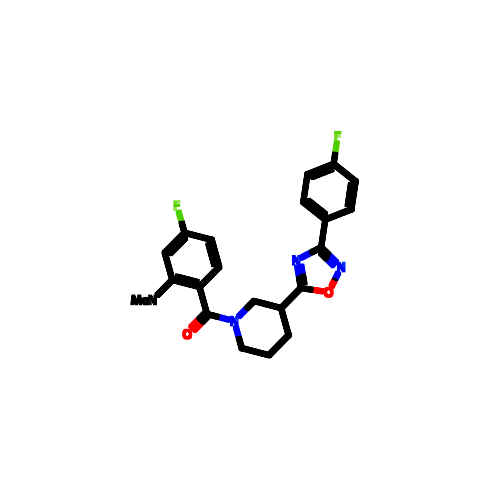 CNc1cc(F)ccc1C(=O)N1CCCC(c2nc(-c3ccc(F)cc3)no2)C1